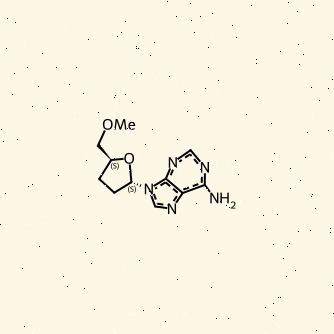 COC[C@@H]1CC[C@@H](n2cnc3c(N)ncnc32)O1